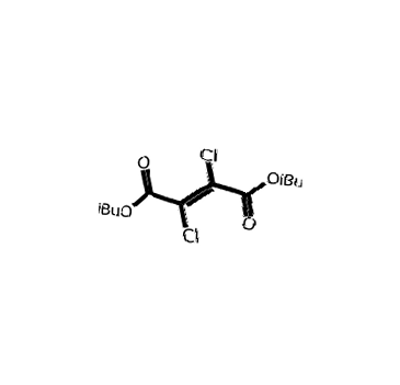 CC(C)COC(=O)C(Cl)=C(Cl)C(=O)OCC(C)C